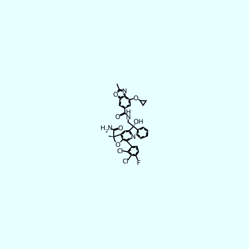 Cc1nc2c(OC3CC3)cc(C(=O)NC[C@@](O)(c3ccccc3)c3cc4c(c(-c5ccc(F)c(Cl)c5Cl)n3)OC[C@]4(C)C(N)=O)cc2o1